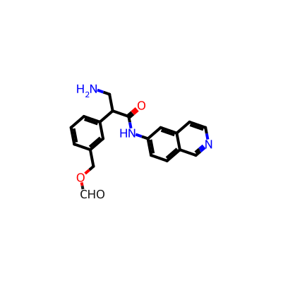 NCC(C(=O)Nc1ccc2cnccc2c1)c1cccc(COC=O)c1